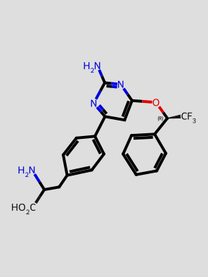 Nc1nc(O[C@H](c2ccccc2)C(F)(F)F)cc(-c2ccc(CC(N)C(=O)O)cc2)n1